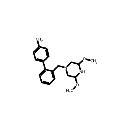 [CH2]c1ccc(-c2ccccc2CN2CC(OC)NC(OC)C2)cc1